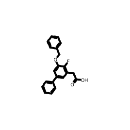 O=C(O)Cc1cc(-c2ccccc2)cc(OCc2ccccc2)c1F